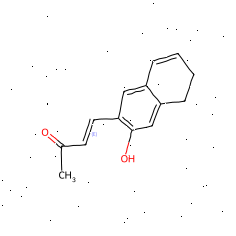 CC(=O)/C=C/c1cc2c(cc1O)CCC=C2